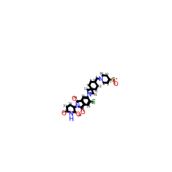 O=[S+]C1CCN(CC2CCC3(CC2)CN(c2cc4c(cc2F)C(=O)N(C2CCC(=O)NC2=O)C4=O)C3)CC1